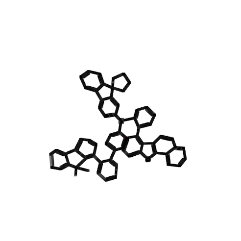 CC1(C)c2ccccc2-c2cccc(-c3ccccc3-c3ccc(N(c4ccc5c(c4)C4(CCCC4)c4ccccc4-5)c4ccccc4-c4cccc5oc6c7ccccc7ccc6c45)cc3)c21